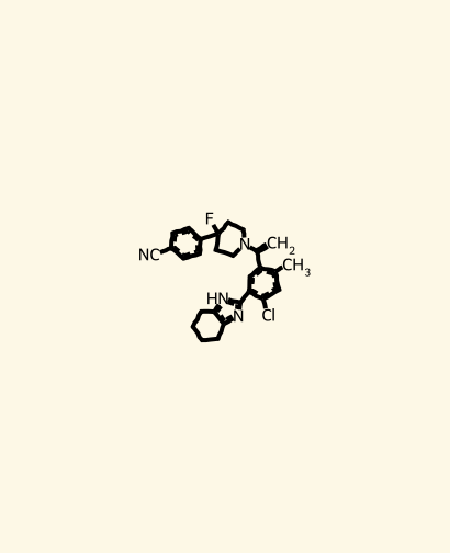 C=C(c1cc(-c2nc3c([nH]2)CCCC3)c(Cl)cc1C)N1CCC(F)(c2ccc(C#N)cc2)CC1